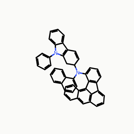 C1=CC(N(c2cccc3c2-c2c4ccccc4cc4cccc-3c24)c2cccc3ccccc23)Cc2c1c1ccccc1n2-c1ccccc1